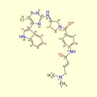 CN(C)CC=CC(=O)Nc1ccc(C(=O)N2CC[C@@H](Nc3ncc(Cl)c(-c4c[nH]c5ccccc45)n3)C2)cc1